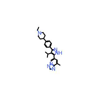 CCN1CCC(c2ccc(-c3n[nH]c(-c4cc(C)c5ncnn5c4)c3C(C)C)cc2)CC1